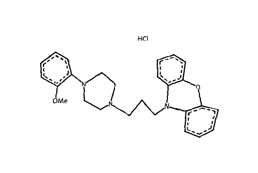 COc1ccccc1N1CCN(CCCN2c3ccccc3Oc3ccccc32)CC1.Cl